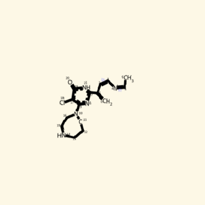 C=C(/C=C\N=C/C)c1nc(N2CCCNCC2)c(Cl)c(=O)[nH]1